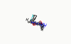 C=C1C(c2cccc(F)c2F)=CN(CC(=O)N2CCC(N3CCc4ccccc4NC3=O)CC2)C(=O)N1C(C)C